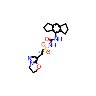 O=C(Nc1c2c(cc3c1CCC3)CCC2)NS(=O)(=O)/C=C/c1cnn2c1OCCC2